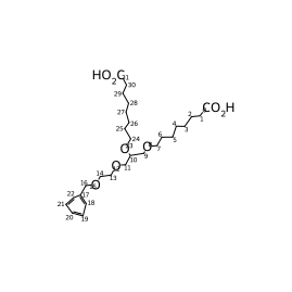 O=C(O)CCCCCCCOCC(COCCOCc1ccccc1)OCCCCCCCC(=O)O